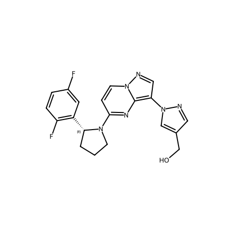 OCc1cnn(-c2cnn3ccc(N4CCC[C@@H]4c4cc(F)ccc4F)nc23)c1